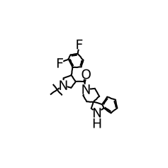 CC(C)(C)N1CC(C(=O)N2CCC3(CC2)CNc2ccccc23)C(c2ccc(F)cc2F)C1